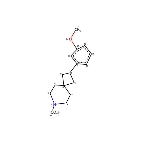 O=C(O)N1CCC2(CC1)CC(c1cccc(OC(F)(F)F)c1)C2